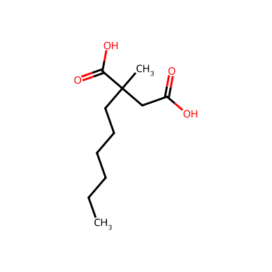 CCCCCCC(C)(CC(=O)O)C(=O)O